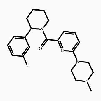 CN1CCN(c2cccc(C(=O)N3CCCCC3c3cccc(F)c3)n2)CC1